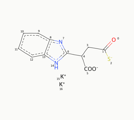 O=C([S-])CC(C(=O)[O-])c1nc2ccccc2[nH]1.[K+].[K+]